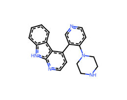 c1ccc2c(c1)[nH]c1nccc(-c3cnccc3N3CCNCC3)c12